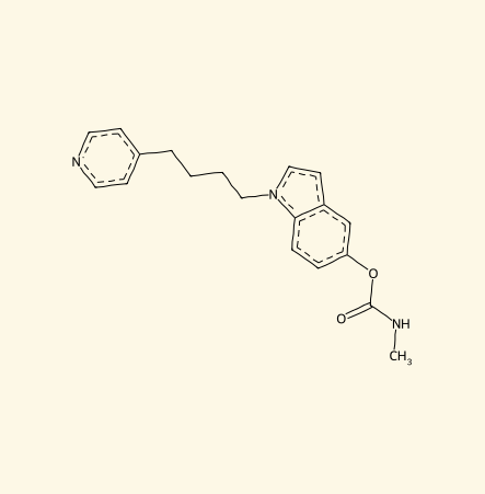 CNC(=O)Oc1ccc2c(ccn2CCCCc2ccncc2)c1